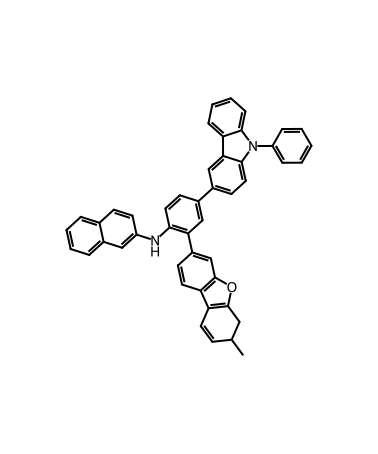 CC1C=Cc2c(oc3cc(-c4cc(-c5ccc6c(c5)c5ccccc5n6-c5ccccc5)ccc4Nc4ccc5ccccc5c4)ccc23)C1